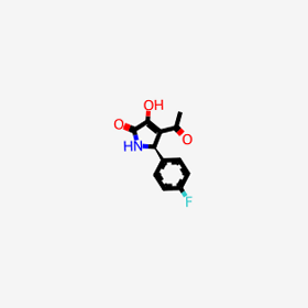 CC(=O)C1=C(O)C(=O)N[C@@H]1c1ccc(F)cc1